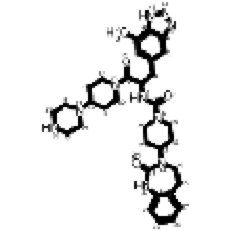 Cc1cc(CC(NC(=O)N2CCC(N3CCc4ccccc4NC3=O)CC2)C(=O)N2CCC(N3CCNCC3)CC2)cc2nn[nH]c12